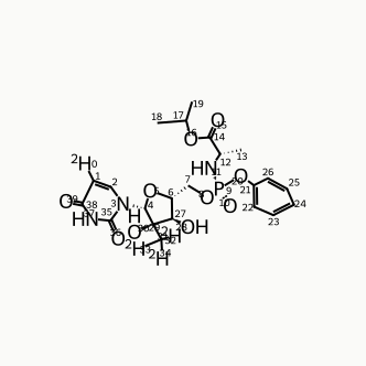 [2H]c1cn([C@@H]2O[C@H](CO[P@@](=O)(N[C@@H](C)C(=O)OC(C)C)Oc3ccccc3)[C@@H](O)[C@]2(O)C([2H])([2H])[2H])c(=O)[nH]c1=O